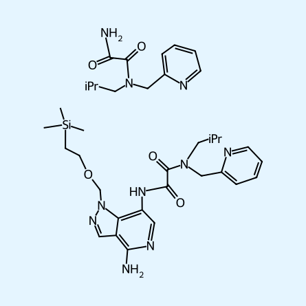 CC(C)CN(Cc1ccccn1)C(=O)C(=O)Nc1cnc(N)c2cnn(COCC[Si](C)(C)C)c12.CC(C)CN(Cc1ccccn1)C(=O)C(N)=O